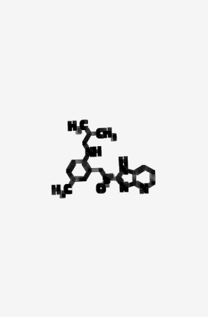 Cc1ccc(NCC(C)C)c(C[S+]([O-])c2nc3ncccc3[nH]2)c1